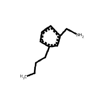 C[CH]CCc1cccc(CN)c1